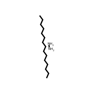 CCCCCCCCCCCCCCC.NN